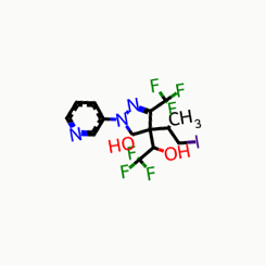 CC(CI)C1(C(O)C(F)(F)F)C(C(F)(F)F)=NN(c2cccnc2)C1O